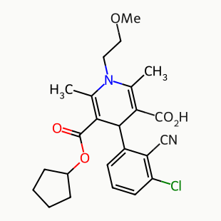 COCCN1C(C)=C(C(=O)O)C(c2cccc(Cl)c2C#N)C(C(=O)OC2CCCC2)=C1C